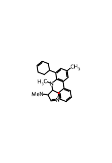 CNC1C=NCC1N(C)c1c(-c2ccccc2)cc(C)cc1C1CC=CCC1